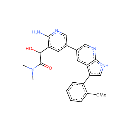 COc1ccccc1-c1c[nH]c2ncc(-c3cnc(N)c(C(O)C(=O)N(C)C)c3)cc12